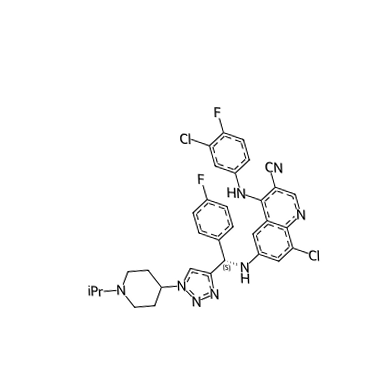 CC(C)N1CCC(n2cc([C@@H](Nc3cc(Cl)c4ncc(C#N)c(Nc5ccc(F)c(Cl)c5)c4c3)c3ccc(F)cc3)nn2)CC1